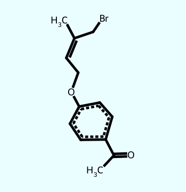 CC(=O)c1ccc(OCC=C(C)CBr)cc1